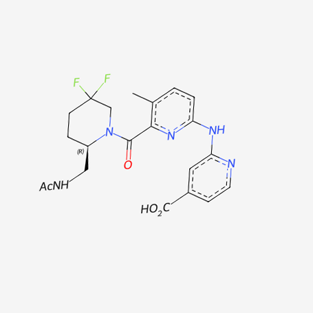 CC(=O)NC[C@H]1CCC(F)(F)CN1C(=O)c1nc(Nc2cc(C(=O)O)ccn2)ccc1C